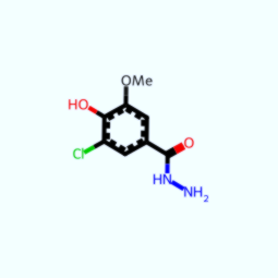 COc1cc(C(=O)NN)cc(Cl)c1O